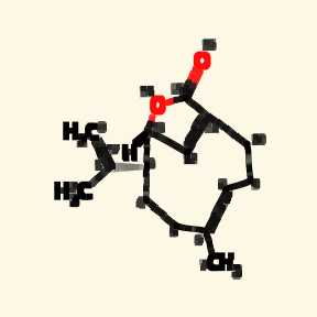 C=C(C)[C@H]1CC/C(C)=C/CCC2=C[C@H]1OC2=O